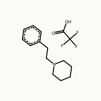 O=C(O)C(F)(F)F.c1ccc(CCN2CCCCC2)cc1